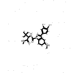 CNC(=O)C(NC(=O)n1nc(-c2ccc(F)c(F)c2)c2c1CCC(NC)C2)C(C)(C)C